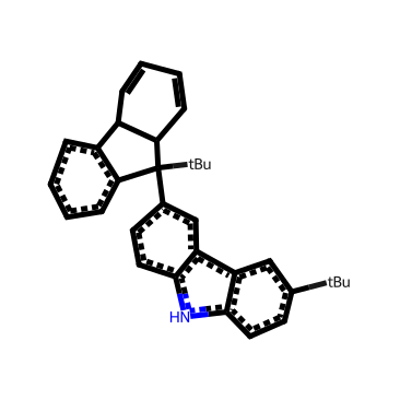 CC(C)(C)c1ccc2[nH]c3ccc(C4(C(C)(C)C)c5ccccc5C5C=CC=CC54)cc3c2c1